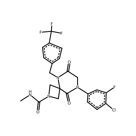 CNC(=O)N1CC2(C1)C(=O)N(c1ccc(Cl)c(F)c1)CC(=O)N2Cc1ccc(C(F)(F)F)cc1